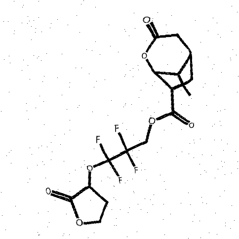 CC1C2CC(=O)OC1C(C(=O)OCC(F)(F)C(F)(F)OC1CCOC1=O)C2